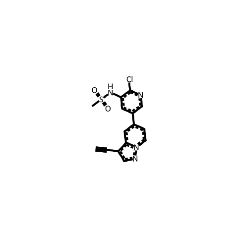 C#Cc1cnn2ccc(-c3cnc(Cl)c(NS(C)(=O)=O)c3)cc12